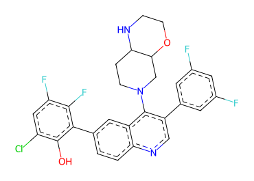 Oc1c(Cl)cc(F)c(F)c1-c1ccc2ncc(-c3cc(F)cc(F)c3)c(N3CCC4NCCOC4C3)c2c1